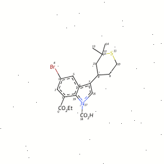 CCOC(=O)c1cc(Br)cc2c(C3CCSC(C)(C)C3)cn(C(=O)O)c12